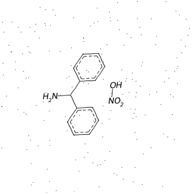 NC(c1ccccc1)c1ccccc1.O=[N+]([O-])O